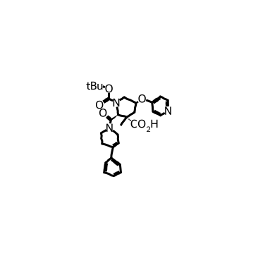 CC(C)(C)OC(=O)N1C[C@@H](Oc2ccncc2)C[C@](C)(C(=O)O)[C@H]1C(=O)N1CC=C(c2ccccc2)CC1